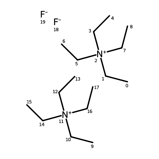 CC[N+](CC)(CC)CC.CC[N+](CC)(CC)CC.[F-].[F-]